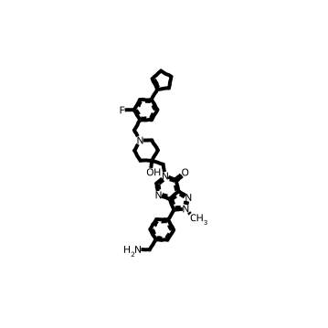 Cn1nc2c(=O)n(CC3(O)CCN(Cc4ccc(C5=CCCC5)cc4F)CC3)cnc2c1-c1ccc(CN)cc1